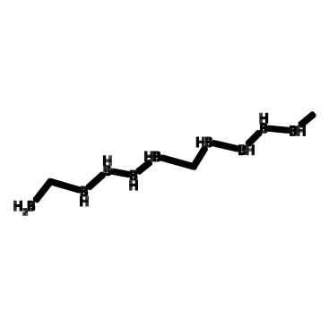 BCBBBBCBBBBC